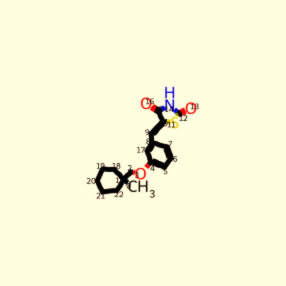 CC1(COc2cccc(/C=C3\SC(=O)NC3=O)c2)CCCCC1